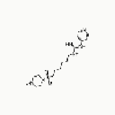 CN1CCN(S(=O)(=O)CCCCCCNC(=N)Nc2ccncc2)CC1